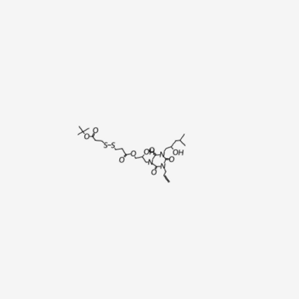 C=CCn1c(=O)n(CC(O)COC(=O)CCSSCCC(=O)OC(C)(C)C)c(=O)n(CC(O)CC(C)C)c1=O